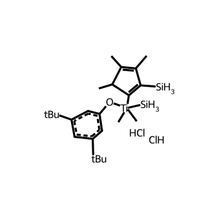 CC1=C(C)C(C)[C]([Ti]([CH3])([CH3])([SiH3])[O]c2cc(C(C)(C)C)cc(C(C)(C)C)c2)=C1[SiH3].Cl.Cl